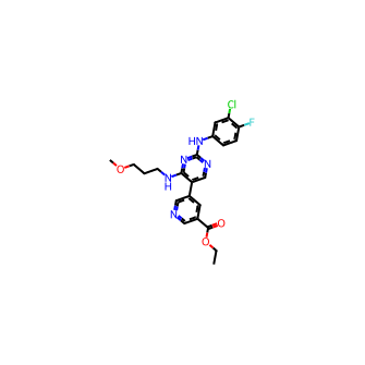 CCOC(=O)c1cncc(-c2cnc(Nc3ccc(F)c(Cl)c3)nc2NCCCOC)c1